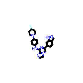 FC1CCN(c2ccc(Nc3nc(-c4ccc5cn[nH]c5c4)cn4ccnc34)cc2)CC1